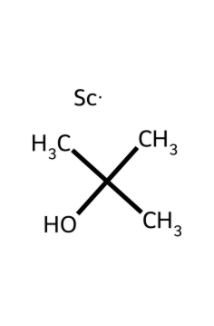 CC(C)(C)O.[Sc]